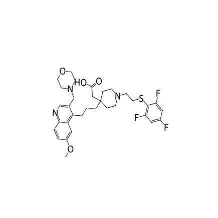 COc1ccc2ncc(CN3CCOCC3)c(CCCC3(CC(=O)O)CCN(CCSc4c(F)cc(F)cc4F)CC3)c2c1